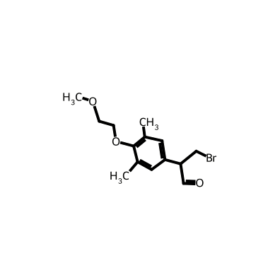 COCCOc1c(C)cc(C(C=O)CBr)cc1C